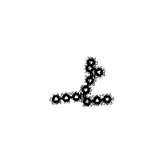 c1ccc(-c2ccc(-c3ccc(N(c4ccc(-c5ccc(-n6c7ccccc7c7c8ccccc8ccc76)cc5)cc4)c4cccc(-c5ccc(-c6ccccc6)cc5)c4)cc3)cc2)cc1